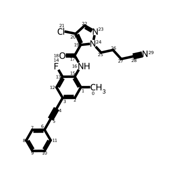 Cc1cc(C#Cc2ccccc2)cc(F)c1NC(=O)c1c(Cl)cnn1CCCC#N